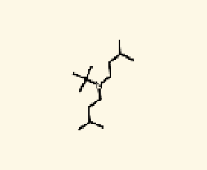 CC(C)CCN(CCC(C)C)C(C)(C)C